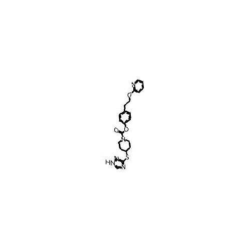 O=C(Oc1ccc(CCOc2ccccn2)cc1)N1CCC(Sc2nc[nH]n2)CC1